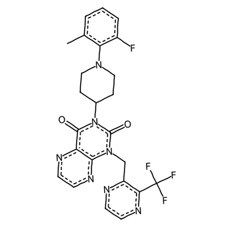 Cc1cccc(F)c1N1CCC(n2c(=O)c3nccnc3n(Cc3nccnc3C(F)(F)F)c2=O)CC1